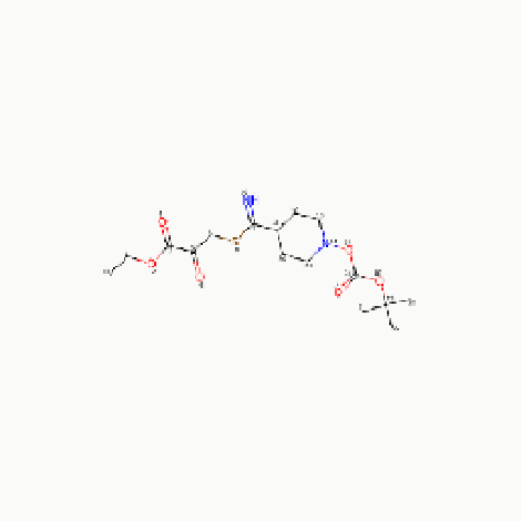 CCOC(=O)C(=O)CSC(=N)C1CCN(OC(=O)OC(C)(C)C)CC1